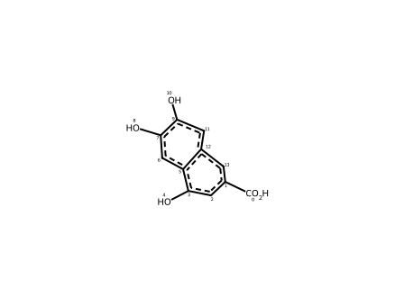 O=C(O)c1cc(O)c2cc(O)c(O)cc2c1